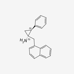 N[C@]1(Cc2cccc3ccccc23)C[C@H]1c1ccccc1